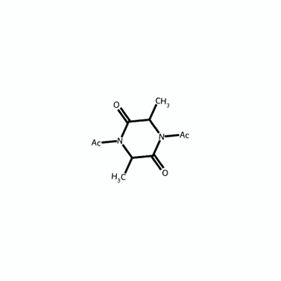 CC(=O)N1C(=O)C(C)N(C(C)=O)C(=O)C1C